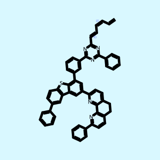 C=C/C=C\C=C\c1nc(-c2ccccc2)nc(-c2cccc(-c3cc(-c4ccc5c(n4)-c4nc(-c6ccccc6)ccc4CC5)cc4c3sc3ccc(-c5ccccc5)cc34)c2)n1